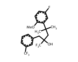 COc1ccc(F)cc1C(C)(C)CC(O)(Cc1cccc(C(F)(F)F)c1)C(F)(F)F